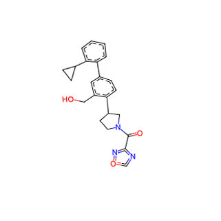 O=C(c1ncon1)N1CCC(c2ccc(-c3ccccc3C3CC3)cc2CO)C1